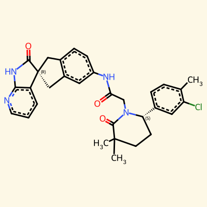 Cc1ccc([C@@H]2CCC(C)(C)C(=O)N2CC(=O)Nc2ccc3c(c2)C[C@@]2(C3)C(=O)Nc3ncccc32)cc1Cl